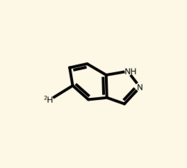 [2H]c1ccc2[nH]ncc2c1